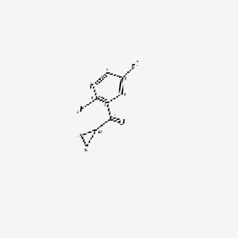 O=C(c1cc(Br)cnc1F)C1CC1